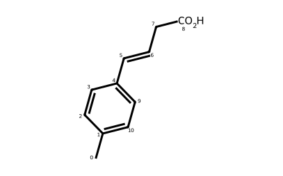 Cc1ccc(/C=C/CC(=O)O)cc1